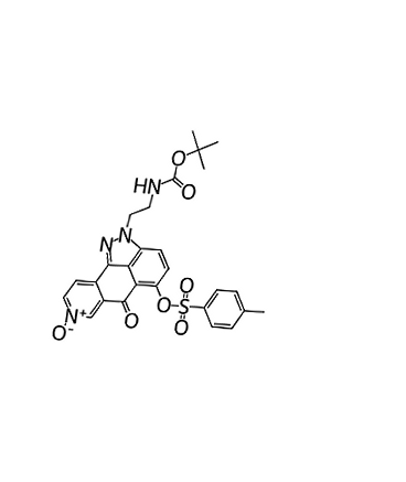 Cc1ccc(S(=O)(=O)Oc2ccc3c4c(nn3CCNC(=O)OC(C)(C)C)-c3cc[n+]([O-])cc3C(=O)c24)cc1